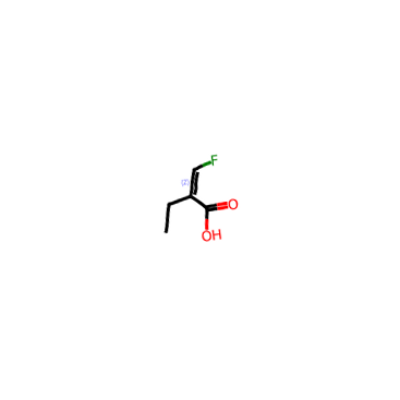 CC/C(=C/F)C(=O)O